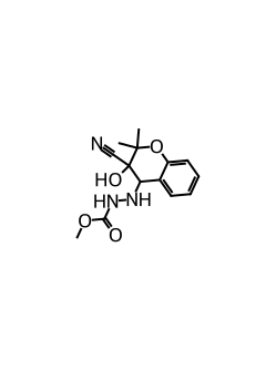 COC(=O)NNC1c2ccccc2OC(C)(C)C1(O)C#N